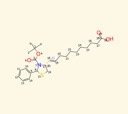 CC(C)(C)OC(=O)N1C(c2ccccc2)SC[C@H]1/C=C/CCCCCCCCC(=O)O